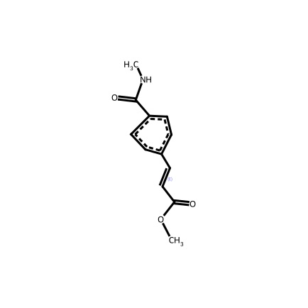 CNC(=O)c1ccc(/C=C/C(=O)OC)cc1